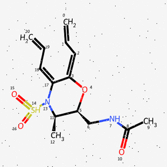 C=C/C=C1/O[C@@H](CNC(C)=O)[C@@H](C)N([SH](=O)=O)/C1=C/C=C